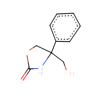 O=C1NC(CO)(c2ccccc2)CO1